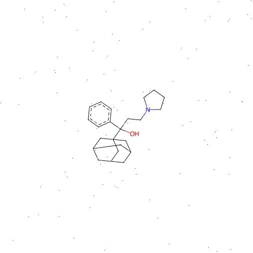 OC(CCN1CCCC1)(c1ccccc1)C12CC3CC(CC(C3)C1)C2